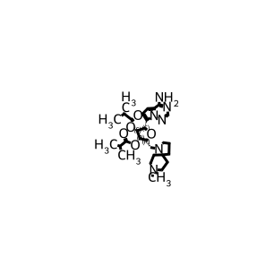 CC(C)C(=O)O[C@@H]1[C@H](OC(=O)C(C)C)[C@@H](CN2CCCC23CCN(C)CC3)O[C@H]1c1ccc2c(N)ncnn12